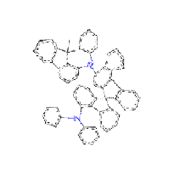 CC1(C)c2ccccc2-c2cccc(N(c3ccccc3)c3cc4c(c5ccccc35)-c3ccccc3C43c4ccccc4-c4c(N(c5ccccc5)c5ccccc5)cccc43)c21